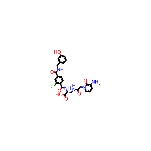 Nc1cccn(CC(=O)NC[C@H](NC(=O)c2ccc(C(=O)NCc3cccc(O)c3)cc2Cl)C(=O)O)c1=O